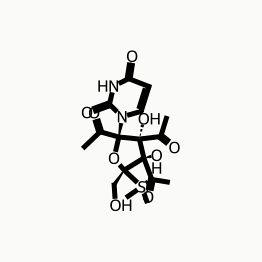 CC(=O)[C@@]1(O)[C@@](O)(C(C)=O)[C@](CO)([Si](C)(C)C)O[C@@]1(C(C)=O)n1ccc(=O)[nH]c1=O